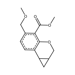 COCc1ccc2c(c1C(=O)OC)OCC1CC21